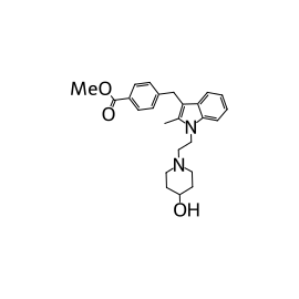 COC(=O)c1ccc(Cc2c(C)n(CCN3CCC(O)CC3)c3ccccc23)cc1